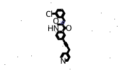 O=C1Nc2ccc(C#CCc3ccncc3)cc2C(=O)/C1=C/c1cccc(Cl)c1